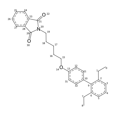 CCc1cccc(CC)c1-c1ccc(OCCCCCN2C(=O)c3ccccc3C2=O)cc1